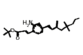 C=C(/C=C/c1ccc(/C=C/C(=O)OC(C)(C)C)c(N)c1)CC(C)(C)CCC